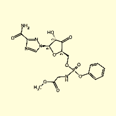 COC(=O)CNP(=O)(OC[C@H]1O[C@@H](n2cnc(C(N)=O)n2)[C@H](O)C1=O)Oc1ccccc1